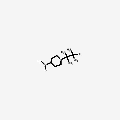 BC(B)(B)C(B)(B)N1CCC([S+](N)[O-])CC1